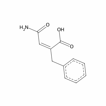 NC(=O)C=C(Cc1ccccc1)C(=O)O